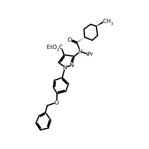 CCOC(=O)c1cn(-c2ccc(OCc3ccccc3)cc2)nc1N(C(=O)[C@H]1CC[C@H](C)CC1)C(C)C